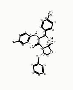 Cc1ccc(O[C@H](C(=O)N2C(=O)OC[C@@H]2Cc2ccccc2)[C@H](O)c2ccc(O)cc2)cc1